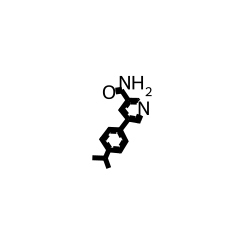 CC(C)c1ccc(-c2cncc(C(N)=O)c2)cc1